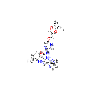 CC1(C)OC[C@@H](COc2cnc(NC(=O)C3(c4cccc(C(F)(F)F)c4)NC=C4C(=N[C@H]5CCN4C5)N3)cn2)O1